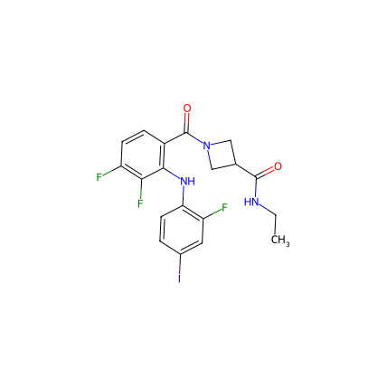 CCNC(=O)C1CN(C(=O)c2ccc(F)c(F)c2Nc2ccc(I)cc2F)C1